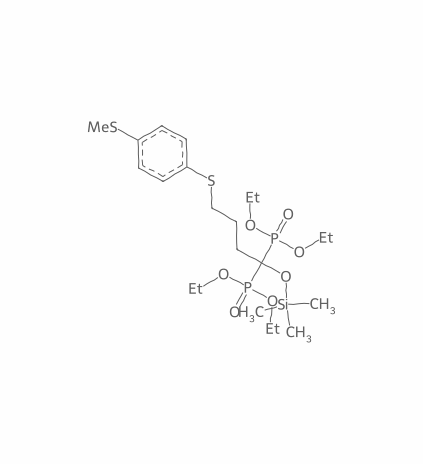 CCOP(=O)(OCC)C(CCCSc1ccc(SC)cc1)(O[Si](C)(C)C)P(=O)(OCC)OCC